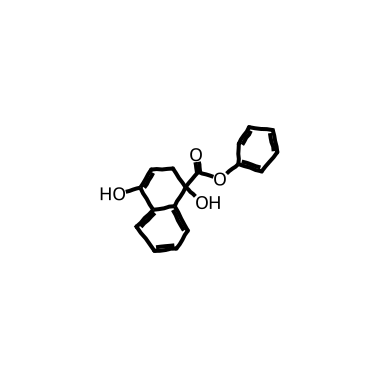 O=C(Oc1ccccc1)C1(O)CC=C(O)c2ccccc21